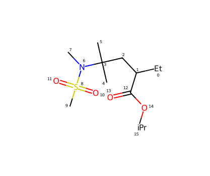 CCC(CC(C)(C)N(C)S(C)(=O)=O)C(=O)OC(C)C